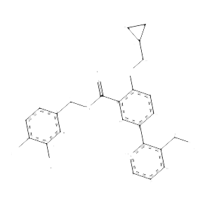 Cc1ccc(CNC(=O)c2cc(-c3ncccc3CO)ccc2OCC2CC2)cc1C